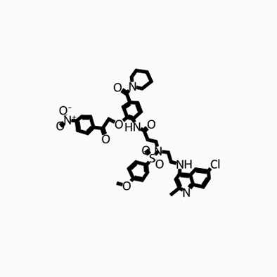 COc1ccc(S(=O)(=O)N(CCNc2cc(C)nc3ccc(Cl)cc23)CCC(=O)Nc2ccc(C(=O)N3CCCCC3)cc2OCC(=O)c2ccc([N+](=O)[O-])cc2)cc1